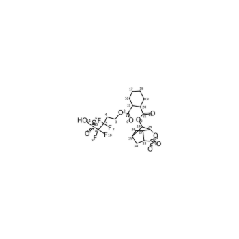 O=C(OCCC(F)(F)C(F)(F)S(=O)(=O)O)C1CCCCC1C(=O)OC1C2CC3C1OS(=O)(=O)C3C2